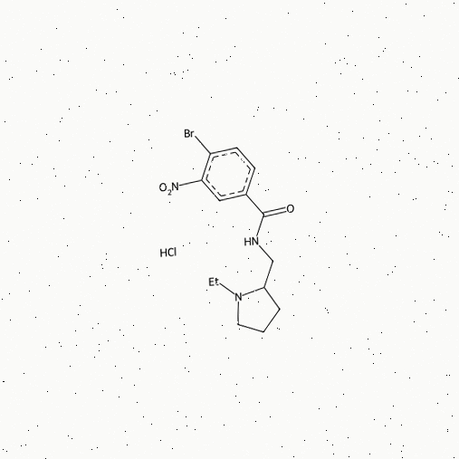 CCN1CCCC1CNC(=O)c1ccc(Br)c([N+](=O)[O-])c1.Cl